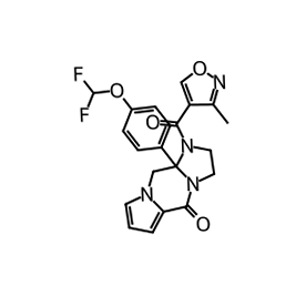 Cc1nocc1C(=O)N1CCN2C(=O)c3cccn3CC12c1ccc(OC(F)F)cc1